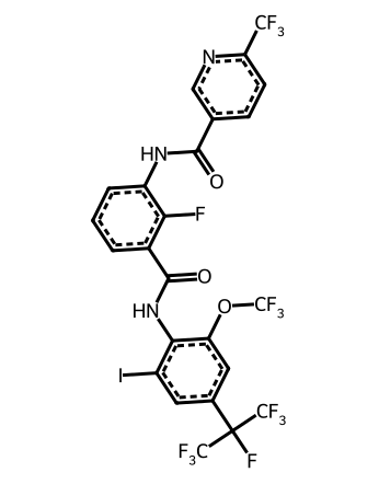 O=C(Nc1cccc(C(=O)Nc2c(I)cc(C(F)(C(F)(F)F)C(F)(F)F)cc2OC(F)(F)F)c1F)c1ccc(C(F)(F)F)nc1